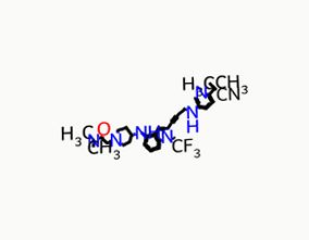 CN(C)C(=O)CN1CCC(Nc2cccc3c2cc(C#CCNc2ccc(C(C)(C)C#N)nc2)n3CC(F)(F)F)CC1